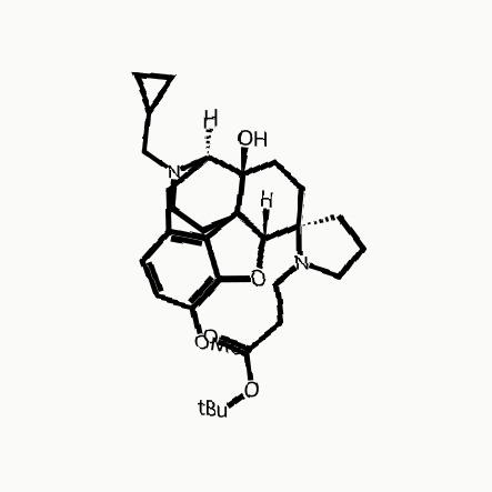 COc1ccc2c3c1O[C@H]1[C@@]4(CCCN4CCC(=O)OC(C)(C)C)CC[C@@]4(O)[C@@H](C2)N(CC2CC2)CC[C@]314